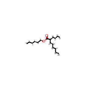 CCCCCCOC(=O)C(CCCC)CCCCCC